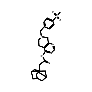 CS(=O)(=O)c1ccc(CN2CCc3c(ncnc3NC(=O)CC34CC5CC(CC(C5)C3)C4)C2)cc1